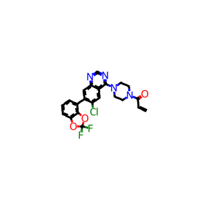 C=CC(=O)N1CCN(c2ncnc3cc(-c4cccc5c4OC(F)(F)O5)c(Cl)cc23)CC1